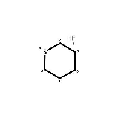 C1CCSCC1.F